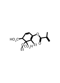 C=C(C)C(=O)OC1=C(CC)C(OCC)(C(=O)O)C(C(=O)O)C=C1